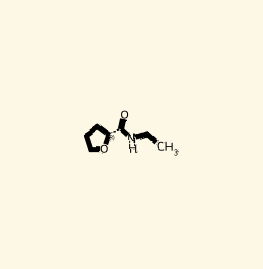 CCNC(=O)[C@H]1CCCO1